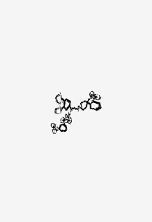 CN(C[C@@H](CCN1CCC2(CC1)CS(=O)(=O)c1ccccc12)c1ccc(Cl)c(Cl)c1)S(=O)(=O)c1cccc([N+](=O)[O-])c1